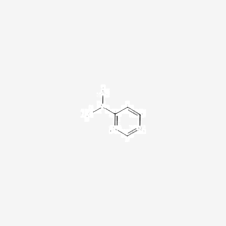 CC(=O)N(C)c1ccncn1